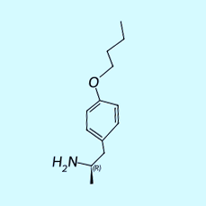 CCCCOc1ccc(C[C@@H](C)N)cc1